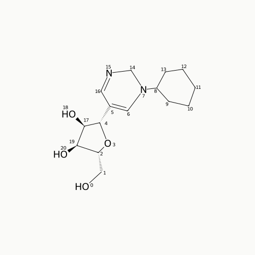 OC[C@H]1O[C@@H](C2=CN(C3CCCCC3)CN=C2)[C@H](O)[C@@H]1O